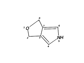 [CH]1OCc2c[nH]cc21